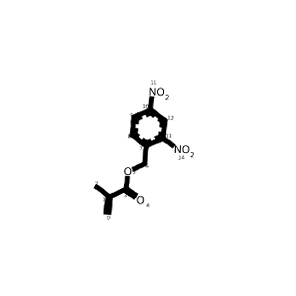 C=C(C)C(=O)OCc1ccc([N+](=O)[O-])cc1[N+](=O)[O-]